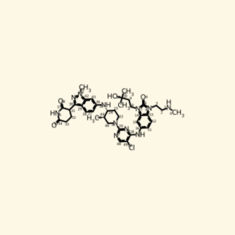 CNCCn1c(=O)n(CCC(C)(C)O)c2cc(Nc3nc(N4CC[C@@H](Nc5ccc6c(C7CCC(=O)NC7=O)nn(C)c6c5)[C@H](C)C4)ncc3Cl)ccc21